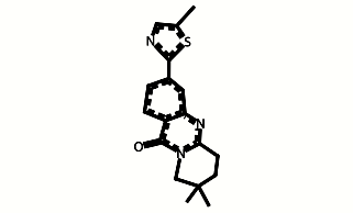 Cc1cnc(-c2ccc3c(=O)n4c(nc3c2)CCC(C)(C)C4)s1